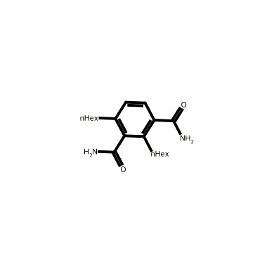 CCCCCCc1ccc(C(N)=O)c(CCCCCC)c1C(N)=O